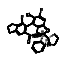 CNC(=O)c1cc2c(c(F)c1-c1c(Cl)c(F)cc3c1C[C@](c1ccccc1)([C@@H]1CCCN1)O3)CCC2